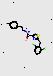 Cc1ccc(CCNC(=O)c2csc(Cc3c(Cl)cccc3Cl)n2)cc1